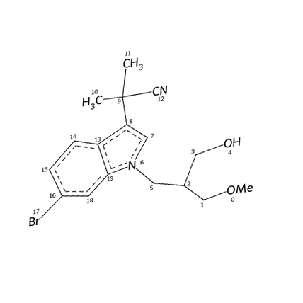 COCC(CO)Cn1cc(C(C)(C)C#N)c2ccc(Br)cc21